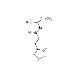 C/C=C(\NC(=O)CCC1CCCO1)C(=O)O